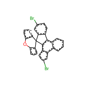 Brc1ccc2c(c1)C1(c3ccccc3Oc3ccccc31)c1c-2c2ccccc2c2cc(Br)ccc12